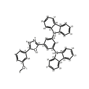 COc1cccc(-c2nnc(-c3cc(-n4c5ccccc5c5ccccc54)cc(-n4c5ccccc5c5ccccc54)c3)o2)c1